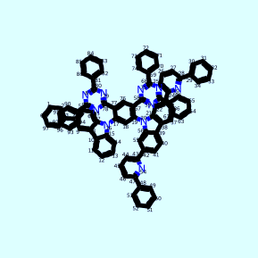 c1ccc(-c2ccc3c(c2)c2ccccc2n3-c2cc(-n3c4cc(-c5cccc(-c6ccccc6)n5)ccc4c4ccc(-c5cccc(-c6ccccc6)n5)cc43)c(-c3nc(-c4ccccc4)nc(-c4ccccc4)n3)cc2-c2nc(-c3ccccc3)nc(-c3ccccc3)n2)cc1